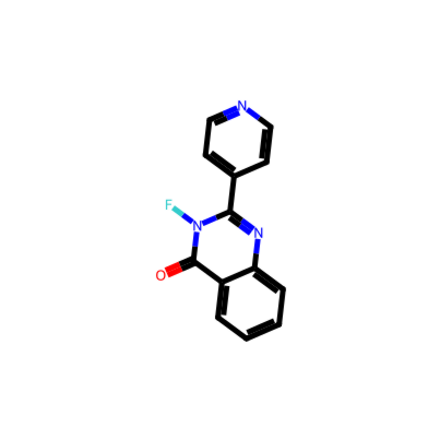 O=c1c2ccccc2nc(-c2ccncc2)n1F